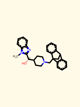 Cn1c([C@@H](O)C2CCN(CC34CC(c5ccccc53)c3ccccc34)CC2)nc2ccccc21